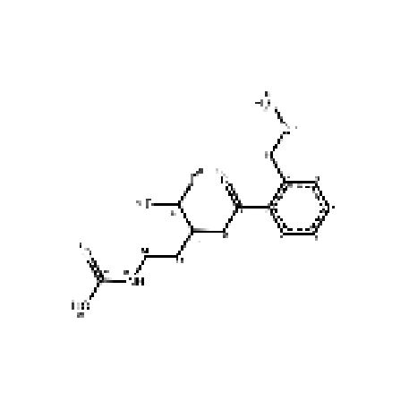 COCc1ccccc1C(=O)CC(CCNC(=O)O)C(F)F